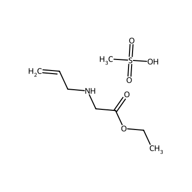 C=CCNCC(=O)OCC.CS(=O)(=O)O